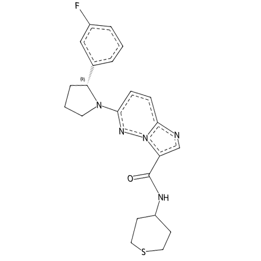 O=C(NC1CCSCC1)c1cnc2ccc(N3CCC[C@@H]3c3cccc(F)c3)nn12